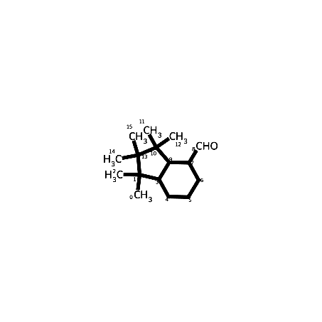 CC1(C)C2CCCC(C=O)C2C(C)(C)C1(C)C